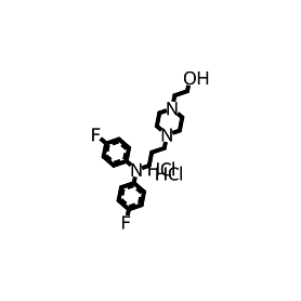 Cl.Cl.OCCN1CCN(CCCN(c2ccc(F)cc2)c2ccc(F)cc2)CC1